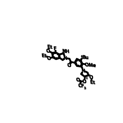 CCOc1cc2c(c(F)c1OCC)C(=N)N(CC(=O)c1cc(N3C[C@H](OCC)[C@@H](OC(=O)C(F)(F)F)C3)c(OC)c(C(C)(C)C)c1)C2